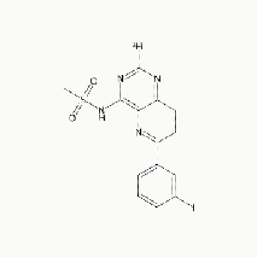 [2H]c1nc(NS(C)(=O)=O)c2nc(-c3cccc(I)c3)ccc2n1